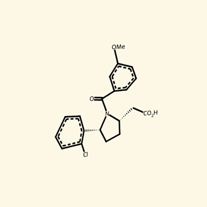 COc1cccc(C(=O)N2[C@H](CC(=O)O)CC[C@@H]2c2ccccc2Cl)c1